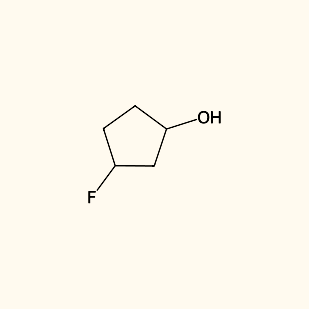 OC1CCC(F)C1